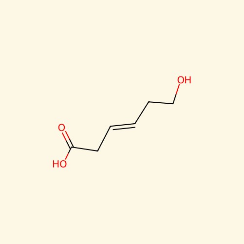 O=C(O)CC=CCCO